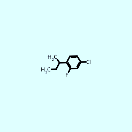 [CH2]C(CC)c1ccc(Cl)cc1F